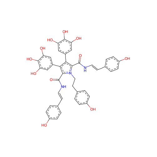 O=C(N/C=C/c1ccc(O)cc1)c1c(-c2cc(O)c(O)c(O)c2)c(-c2cc(O)c(O)c(O)c2)c(C(=O)N/C=C/c2ccc(O)cc2)n1CCc1ccc(O)cc1